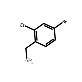 CCc1cc(Br)ccc1CN